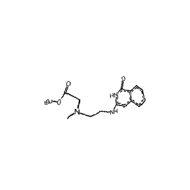 CN(CCNc1cc2ccccc2c(=O)[nH]1)CC(=O)OC(C)(C)C